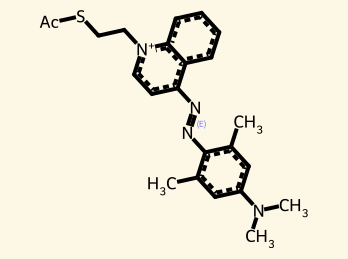 CC(=O)SCC[n+]1ccc(/N=N/c2c(C)cc(N(C)C)cc2C)c2ccccc21